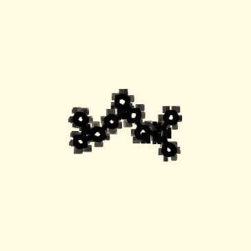 c1ccc(-c2nc(-c3ccccc3)nc(-c3cc(-c4ccc5c6ccccc6n(-c6ccc(-c7ccc8c9ccccc9n(-c9ccccc9)c8c7)cc6)c5c4)ccn3)n2)cc1